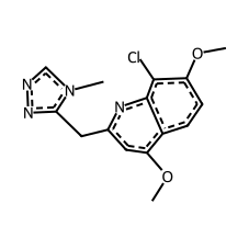 COc1ccc2c(OC)cc(Cc3nncn3C)nc2c1Cl